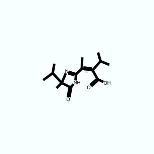 C/C(C1=NC(C)(C(C)C)C(=O)N1)=C(/C(=O)O)C(C)C